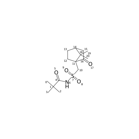 CC(C)(C)C(=O)NS(=O)(=O)CC12CCC(CC1=O)C2(C)C